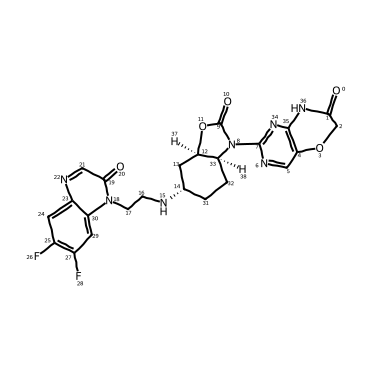 O=C1COc2cnc(N3C(=O)O[C@@H]4C[C@@H](NCCn5c(=O)cnc6cc(F)c(F)cc65)CC[C@@H]43)nc2N1